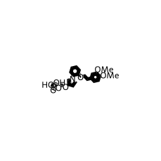 COc1ccc(CCO[C@@H]2CCCC[C@@H]2N2CC[C@@H](OCOP(=O)(O)O)C2)cc1OC